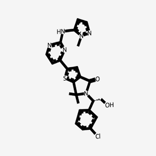 Cn1nccc1Nc1nccc(-c2cc3c(s2)C(C)(C)N([C@H](CO)c2cccc(Cl)c2)C3=O)n1